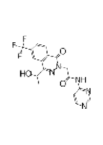 CC(O)c1nn(CC(=O)Nc2ccncn2)c(=O)c2ccc(C(F)(F)F)cc12